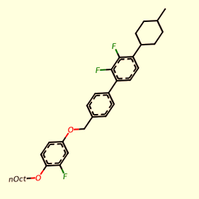 CCCCCCCCOc1ccc(OCc2ccc(-c3ccc(C4CCC(C)CC4)c(F)c3F)cc2)cc1F